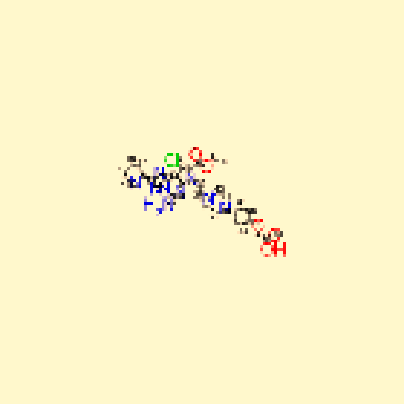 CCOC(=O)c1c(Cl)c2c(nc(N)n3nc(-c4ccccn4)nc23)n1CCN1CCN(c2ccc(OCC(=O)O)cc2)CC1